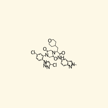 Cn1cc2cc(NC(=O)C(CC3CCOCC3)N3CC(=O)N(c4cc(Cl)ccc4-n4cc(Cl)nn4)CC3=O)ccc2n1